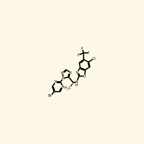 C[C@H](Nc1nc2cc(C(F)(F)F)c(Cl)cc2o1)c1ncnn1-c1ncc(Br)cn1